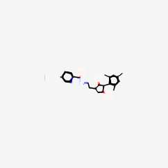 Cc1cc(C)c(C2C(=O)CC(CCNC(=O)c3ccc(C(F)(F)F)cc3)C2=O)c(C)c1